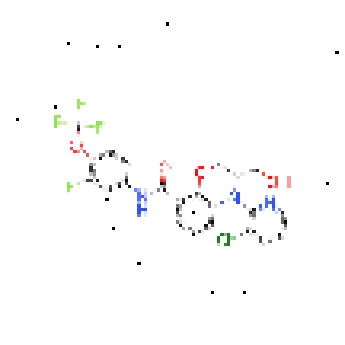 O=C(Nc1ccc(OC(F)(F)F)c(F)c1)c1cccc2c1OC[C@H](CO)N2c1ncccc1Cl